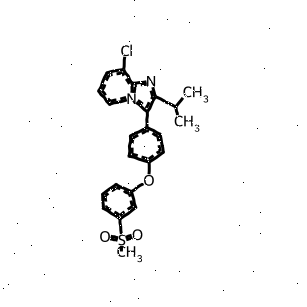 CC(C)c1nc2c(Cl)cccn2c1-c1ccc(Oc2cccc(S(C)(=O)=O)c2)cc1